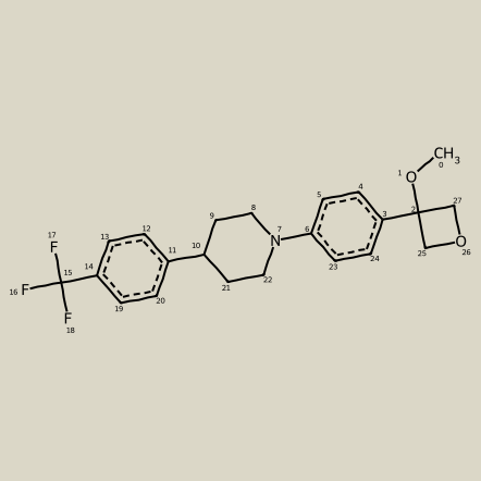 COC1(c2ccc(N3CCC(c4ccc(C(F)(F)F)cc4)CC3)cc2)COC1